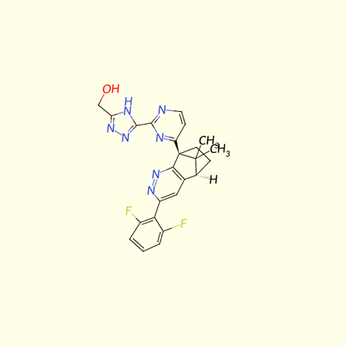 CC1(C)[C@H]2CC[C@@]1(c1ccnc(-c3nnc(CO)[nH]3)n1)c1nnc(-c3c(F)cccc3F)cc12